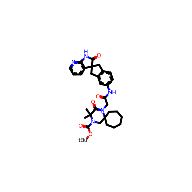 CC(C)(C)OC(=O)N1CC2(CCCCCC2)N(CC(=O)Nc2ccc3c(c2)CC2(C3)C(=O)Nc3ncccc32)C(=O)C1(C)C